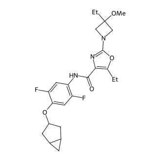 CCc1oc(N2CC(CC)(OC)C2)nc1C(=O)Nc1cc(F)c(OC2CC3CC3C2)cc1F